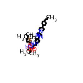 CCCC1CCC(C2CCN(c3cnc(-c4ccc(CC(NC(=O)c5ccc(C(C)(C)C)s5)C(=O)NS(=O)(=O)C(C)C)cc4)nc3)CC2)CC1